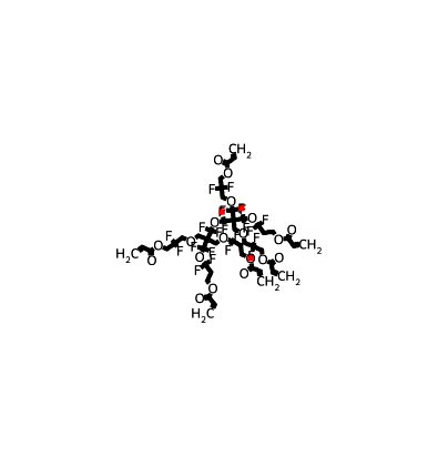 C=CC(=O)OCCC(F)(F)OCC(COCC(F)(F)COC(=O)C=C)(C(F)(F)OC(F)(F)CCOC(=O)C=C)C(F)(F)OC(F)(F)C(COCC(F)(F)COC(=O)C=C)(C(F)(F)OCC(F)(F)COC(=O)C=C)C(F)(F)OC(F)(F)CCOC(=O)C=C